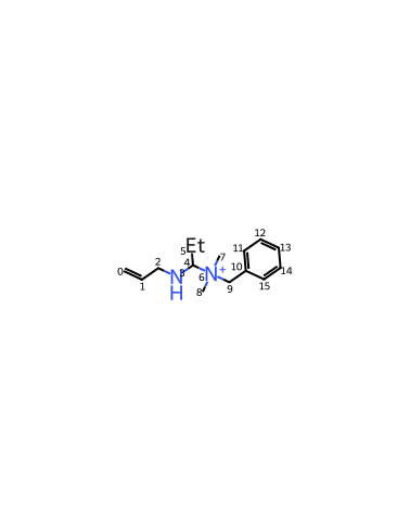 C=CCNC(CC)[N+](C)(C)Cc1ccccc1